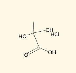 CC(O)(O)C(=O)O.Cl